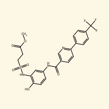 COC(=O)CCS(=O)(=O)Nc1cc(NC(=O)c2ccc(-c3ccc(C(F)(F)F)cc3)nc2)ccc1O